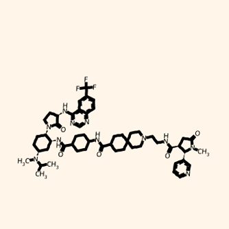 CC(C)N(C)[C@@H]1CC[C@H](N2CC[C@H](Nc3ncnc4ccc(C(F)(F)F)cc34)C2=O)[C@H](NC(=O)C2CCC(NC(=O)C3CCC4(CC3)CCN(CCNC(=O)[C@H]3CC(=O)N(C)[C@@H]3c3cccnc3)CC4)CC2)C1